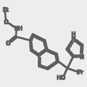 CCONC(=O)c1ccc2cc(C(O)(c3c[nH]cn3)C(C)C)ccc2c1